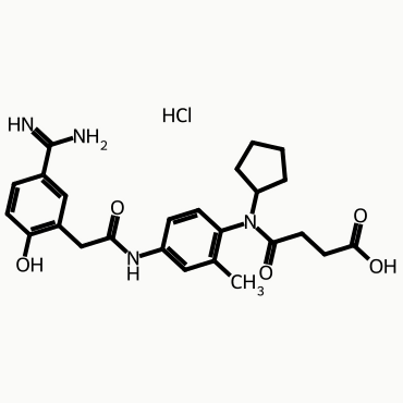 Cc1cc(NC(=O)Cc2cc(C(=N)N)ccc2O)ccc1N(C(=O)CCC(=O)O)C1CCCC1.Cl